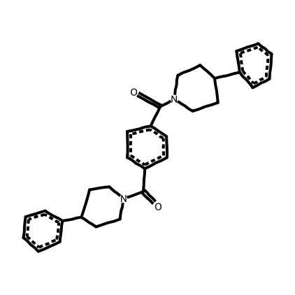 O=C(c1ccc(C(=O)N2CCC(c3ccccc3)CC2)cc1)N1CCC(c2ccccc2)CC1